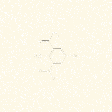 CC(=O)c1cc(Br)cc([N+](=O)[O-])c1C